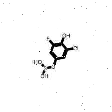 OB(O)Oc1cc(F)c(O)c(Cl)c1